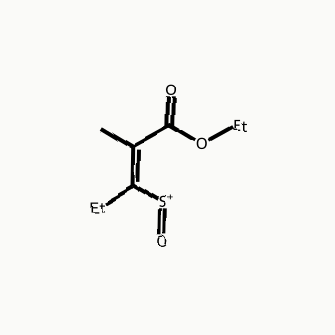 CCOC(=O)C(C)=C(CC)[S+]=O